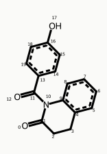 O=C1CCc2ccccc2N1C(=O)c1ccc(O)cc1